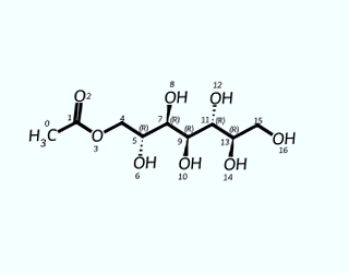 CC(=O)OC[C@@H](O)[C@@H](O)[C@H](O)[C@H](O)[C@H](O)CO